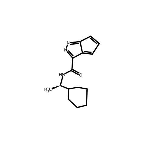 C[C@@H](NC(=O)C1=NN=C2C=CC=C21)C1CCCCC1